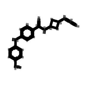 COc1ccc(Nc2ccc(C(=O)NC3CC(N=C=S)C3)nc2)cc1